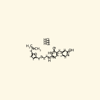 CN(C)Cc1ccc(CSCCNc2ncc(Cc3ccnc(O)c3)c(=O)[nH]2)o1.Cl.Cl.Cl